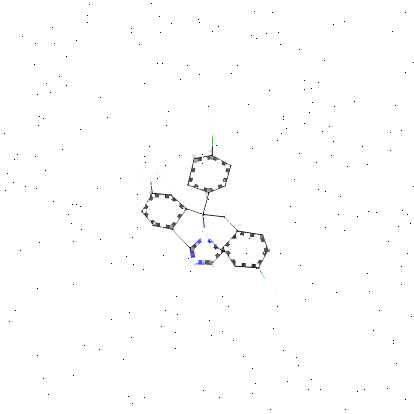 COc1ccc2c(c1)C(Cc1ccc(Cl)cc1)(c1ccc(Cl)cc1)n1ccnc1-2